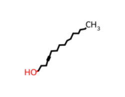 CCCCCCCCCCCC#CCCCO